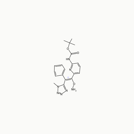 Cn1nnnc1/C(=C(\ON)c1cccc(NC(=O)OC(C)(C)C)n1)c1ccccc1